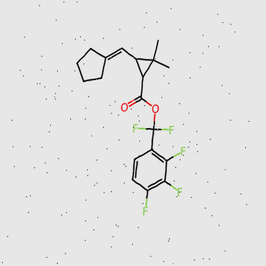 CC1(C)C(C=C2CCCC2)C1C(=O)OC(F)(F)c1ccc(F)c(F)c1F